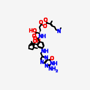 CC(=CCCN(C)C)C(=O)OC(=O)CC[C@H](NC(=O)c1ccc(NCc2cnc3nc(N)[nH]c(=O)c3n2)cc1C1(O)CC2CCC1(C)C2(C)C)C(=O)O